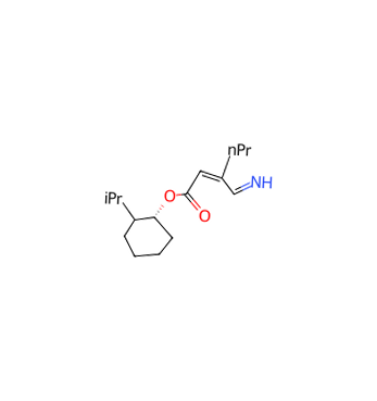 CCC/C(C=N)=C/C(=O)O[C@@H]1CCCCC1C(C)C